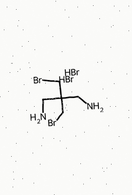 Br.Br.NCC(CN)(CBr)CBr